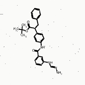 CC(C)(C)OC(=O)C(Cc1ccccc1)c1ccc(NC(=O)c2cccc(NC=NN)c2)cc1